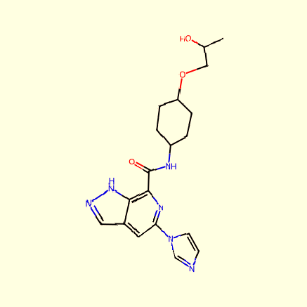 CC(O)COC1CCC(NC(=O)c2nc(-n3ccnc3)cc3cn[nH]c23)CC1